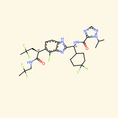 CC(C)n1ncnc1C(=O)N[C@H](c1nc2c(F)c([C@H](CC(C)(F)F)C(=O)NCC(C)(F)F)ccc2[nH]1)C1CCC(F)(F)CC1